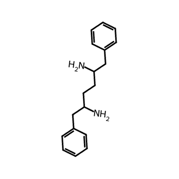 NC(CCC(N)Cc1ccccc1)Cc1ccccc1